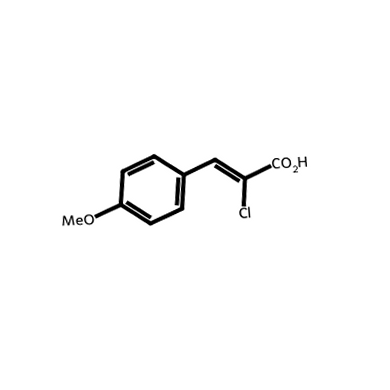 COc1ccc(C=C(Cl)C(=O)O)cc1